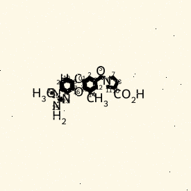 Cc1cc(C(=O)N2CCC(C(=O)O)C2)cc(C)c1Oc1cccc2c1nc(N)n2C